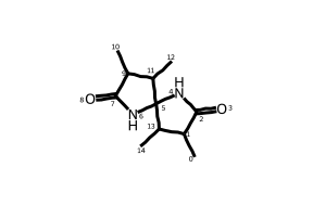 CC1C(=O)NC2(NC(=O)C(C)C2C)C1C